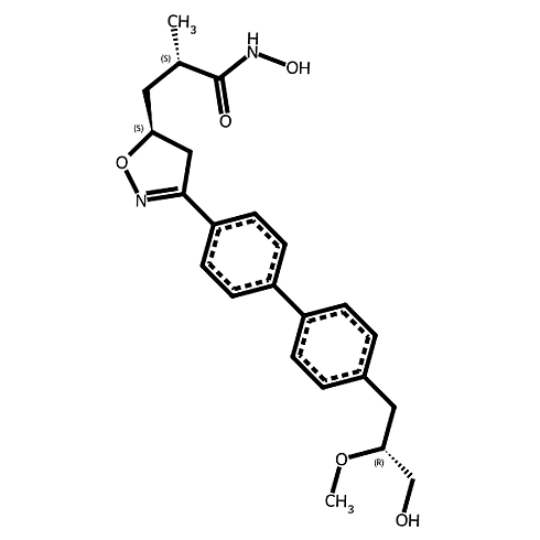 CO[C@@H](CO)Cc1ccc(-c2ccc(C3=NO[C@@H](C[C@H](C)C(=O)NO)C3)cc2)cc1